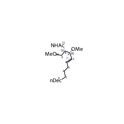 CCCCCCCCCCCCC/C=C/[C@@H](OC)[C@H](COC)NC(C)=O